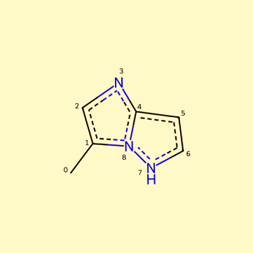 Cc1cnc2cc[nH]n12